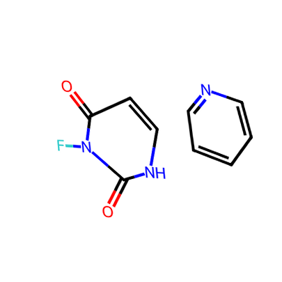 O=c1cc[nH]c(=O)n1F.c1ccncc1